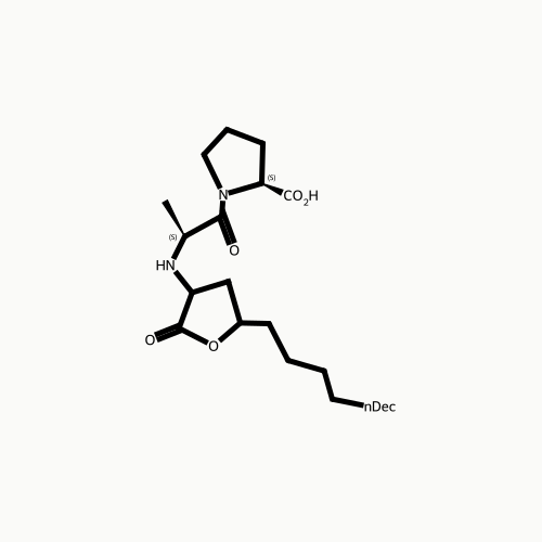 CCCCCCCCCCCCCCC1CC(N[C@@H](C)C(=O)N2CCC[C@H]2C(=O)O)C(=O)O1